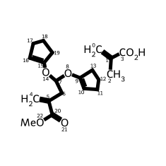 C=C(C)C(=O)O.C=C(CC(OC1=CCCC1)OC1=CCCC1)C(=O)OC